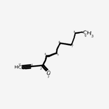 C#CC(=O)CCCCCC